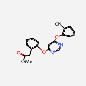 [C-]#[N+]c1ccccc1Oc1cc(Oc2ccccc2CC(=O)OC)ncn1